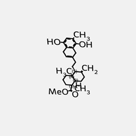 C=C1CC[C@@H]2[C@](C)(CCC[C@]2(C)C(=O)OC)[C@H]1CCC1=CCc2c(O)cc(C)c(O)c2C1